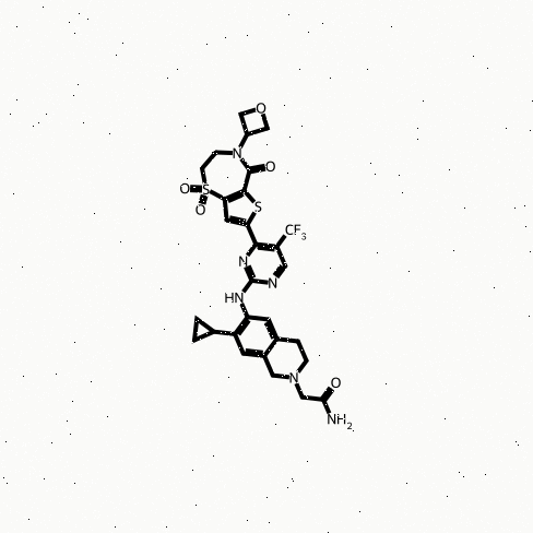 NC(=O)CN1CCc2cc(Nc3ncc(C(F)(F)F)c(-c4cc5c(s4)C(=O)N(C4COC4)CCS5(=O)=O)n3)c(C3CC3)cc2C1